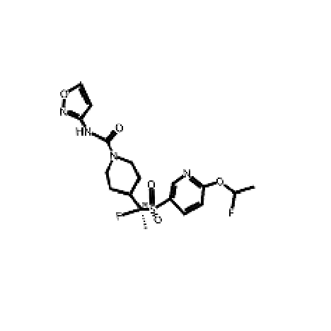 CC(F)Oc1ccc(S(=O)(=O)[C@@](C)(F)C2CCN(C(=O)Nc3ccon3)CC2)cn1